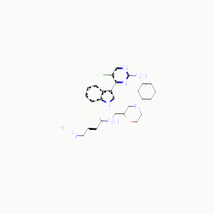 CN(C)C/C=C/C(O)NCC1CN([C@H]2CCC[C@@H](Nc3ncc(Cl)c(-c4c[nH]c5ccccc45)n3)C2)CCO1